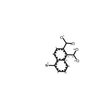 ClC(Cl)c1ccc2c(Br)cccc2c1C(Cl)Cl